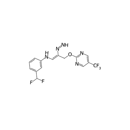 N=N/C(=C\Nc1cccc(C(F)F)c1)COc1ncc(C(F)(F)F)cn1